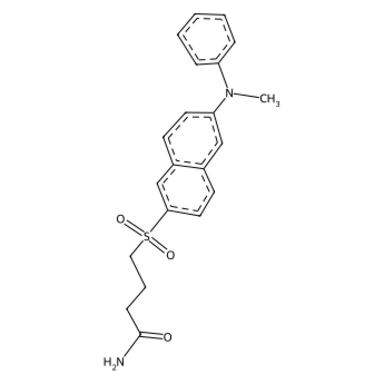 CN(c1ccccc1)c1ccc2cc(S(=O)(=O)CCCC(N)=O)ccc2c1